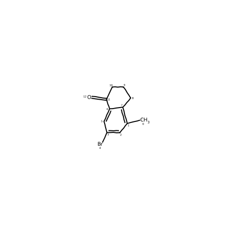 Cc1cc(Br)cc2c1CCCC2=O